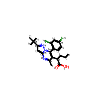 CCCC(C(=O)O)c1c(C)nc2cc(C(C)(C)C)nn2c1-c1ccc(F)cc1F